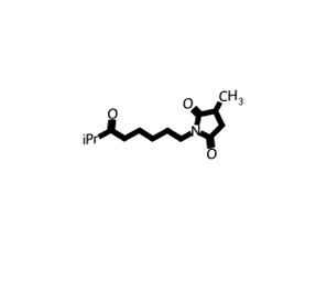 CC(C)C(=O)CCCCCN1C(=O)CC(C)C1=O